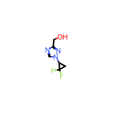 OCc1ncn(C2CC2(F)F)n1